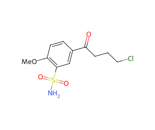 COc1ccc(C(=O)CCCCl)cc1S(N)(=O)=O